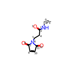 [CH2]CCNC(=O)CCN1C(=O)C=CC1=O